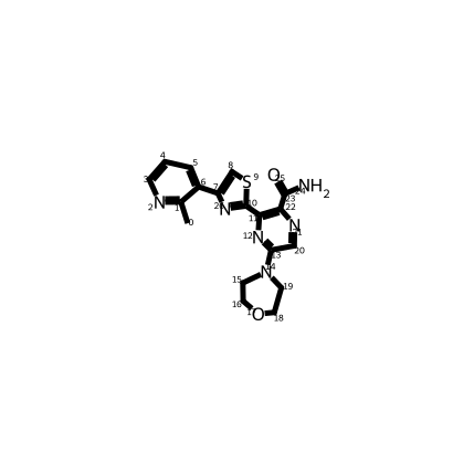 Cc1ncccc1-c1csc(-c2nc(N3CCOCC3)cnc2C(N)=O)n1